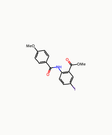 COC(=O)c1cc(I)ccc1NC(=O)c1ccc(OC)cc1